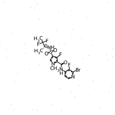 C[C@@H](NS(=O)(=O)c1cn(C)c(C(=O)Nc2ccnc(Br)c2F)c1F)C(C)(F)F